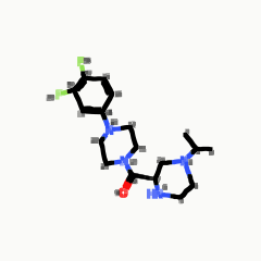 CC(C)N1CCN[C@@H](C(=O)N2CCN(c3ccc(F)c(F)c3)CC2)C1